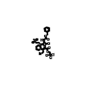 CS(=O)(=O)CCSC1C(NC(=O)OCc2ccccc2)C(=O)N1C(C(=O)OCC(Cl)(Cl)Cl)=C(CBr)N1CCCCC1